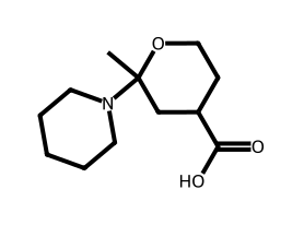 CC1(N2CCCCC2)CC(C(=O)O)CCO1